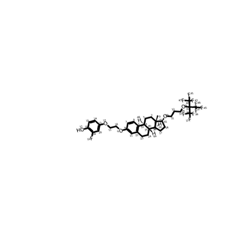 C[C@]12CC[C@@H]3c4ccc(OCCOc5ccc(O)c(F)c5)cc4CC[C@H]3[C@@H]1CC[C@@H]2OCCCOC(C(F)(F)F)(C(F)(F)F)C(F)(F)F